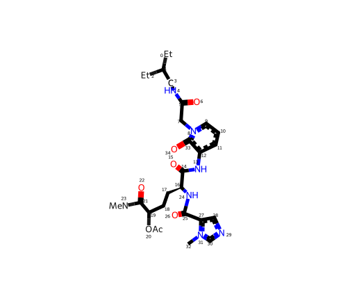 CCC(CC)CNC(=O)Cn1cccc(NC(=O)[C@H](CCC(OC(C)=O)C(=O)NC)NC(=O)c2cncn2C)c1=O